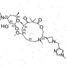 CO[C@]1(C)C[C@@H](C)CN(C)[C@H](C2CN(Cc3cn(C)cn3)C2)COC(=O)C(C)(C)C(=O)[C@H](C)[C@H]1O[C@@H]1O[C@H](C)C[C@H](N(C)C)[C@H]1O